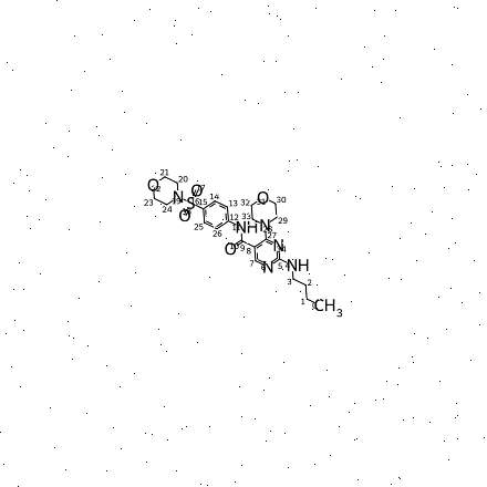 CCCCNc1ncc(C(=O)Nc2ccc(S(=O)(=O)N3CCOCC3)cc2)c(N2CCOCC2)n1